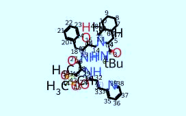 CC(C)(C)NC(=O)[C@@H]1C[C@@H]2CCCC[C@@H]2CN1C[C@@H](O)[C@H](Cc1ccccc1)NC(=O)[C@@H](NC(=O)/C=C/c1ccccn1)C(C)(C)S(C)(=O)=O